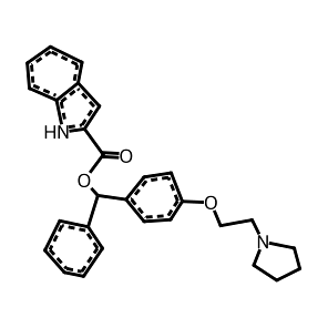 O=C(OC(c1ccccc1)c1ccc(OCCN2CCCC2)cc1)c1cc2ccccc2[nH]1